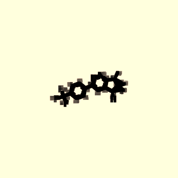 CC1(C)[C@@H]2CC[C@@]1(C)c1nnc(-c3ccc(C(F)(F)F)cc3)cc12